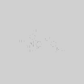 COn1c(N[C@H](c2ccc(Cl)cc2)C(C)C)nc2c(c1=O)CN(C(=O)c1ccc3c(c1)CCC(=O)N3C)CC2